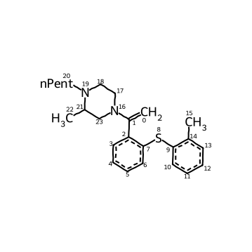 C=C(c1ccccc1Sc1ccccc1C)N1CCN(CCCCC)C(C)C1